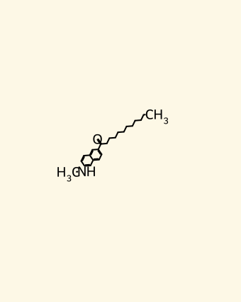 CCCCCCCCCCCC(=O)c1ccc2cc(NC)ccc2c1